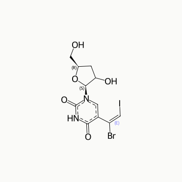 O=c1[nH]c(=O)n([C@H]2O[C@@H](CO)CC2O)cc1/C(Br)=C\I